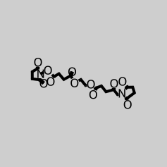 O=C(CCC(=O)OCCOC(=O)CCC(=O)ON1C(=O)CCC1=O)CN1C(=O)CCC1=O